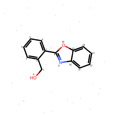 OCc1ccccc1-c1nc2ccccc2o1